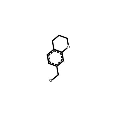 ClCc1ccc2c(c1)OCCC2